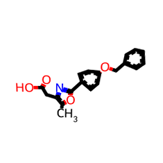 Cc1oc(-c2ccc(OCc3ccccc3)cc2)nc1CC(=O)O